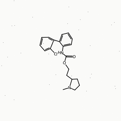 CN1CCCC1CCOC(=O)Nc1ccccc1-c1ccccc1Cl